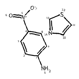 Nc1ccc([N+](=O)[O-])cc1.c1cscn1